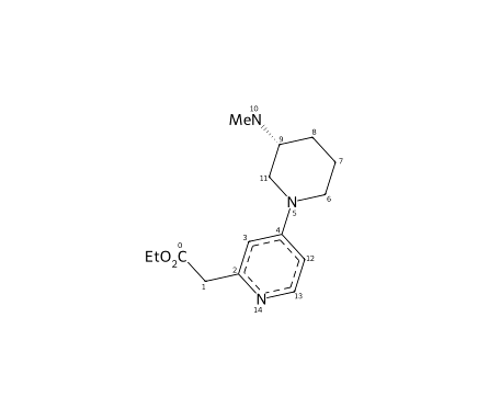 CCOC(=O)Cc1cc(N2CCC[C@@H](NC)C2)ccn1